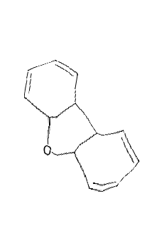 C1=CC2OC3C=CC=CC3C2C=C1